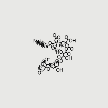 O=C([O-])CC(CC(=O)[O-])(OC(=O)CC(O)(CC(=O)OC(=O)C(O)C(O)C(=O)OC(=O)CC(O)(CC(=O)OC(CC(=O)[O-])(CC(=O)[O-])C(=O)[O-])C(=O)O)C(=O)O)C(=O)[O-].[Na+].[Na+].[Na+].[Na+].[Na+].[Na+]